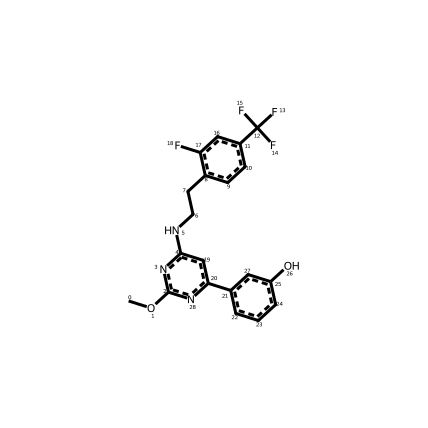 COc1nc(NCCc2ccc(C(F)(F)F)cc2F)cc(-c2cccc(O)c2)n1